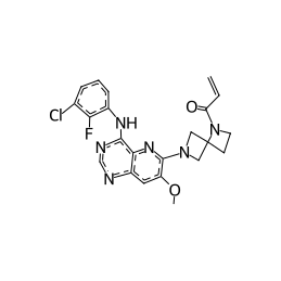 C=CC(=O)N1CCC12CN(c1nc3c(Nc4cccc(Cl)c4F)ncnc3cc1OC)C2